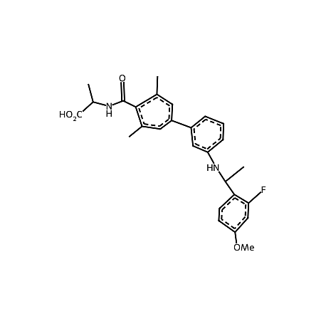 COc1ccc(C(C)Nc2cccc(-c3cc(C)c(C(=O)NC(C)C(=O)O)c(C)c3)c2)c(F)c1